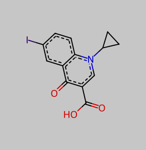 O=C(O)c1cn(C2CC2)c2ccc(I)cc2c1=O